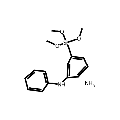 CO[Si](OC)(OC)c1cccc(Nc2ccccc2)c1.N